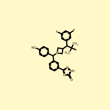 CC(C)(F)C(c1cc(F)cc(F)c1)C1CN(C(c2ccc(C#N)cc2)c2cccc(-c3n[nH]c(=O)o3)c2)C1